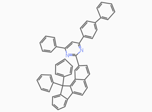 c1ccc(-c2ccc(-c3cc(-c4ccccc4)nc(-c4ccc5ccc6c(c5c4)C(c4ccccc4)(c4ccccc4)c4ccccc4-6)n3)cc2)cc1